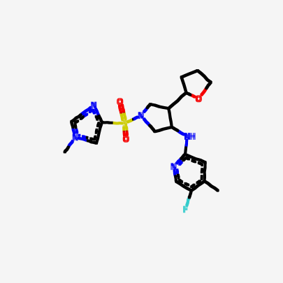 Cc1cc(NC2CN(S(=O)(=O)c3cn(C)cn3)CC2C2CCCO2)ncc1F